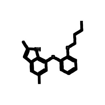 CCCCOc1ccccc1Oc1cc(C)cc2cc(C)[nH]c12